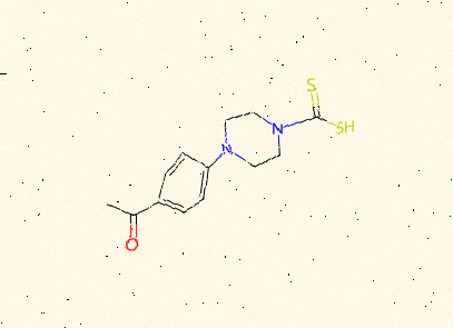 CC(=O)c1ccc(N2CCN(C(=S)S)CC2)cc1